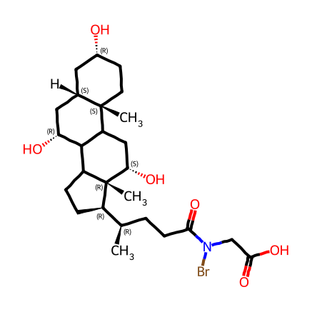 C[C@H](CCC(=O)N(Br)CC(=O)O)[C@H]1CCC2C3C(C[C@H](O)[C@@]21C)[C@@]1(C)CC[C@@H](O)C[C@H]1C[C@H]3O